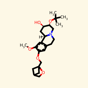 COc1cc2c(cc1OCC13CC(CO1)C3)CCN1C[C@@H](OC(C)(C)C)[C@H](O)C[C@H]21